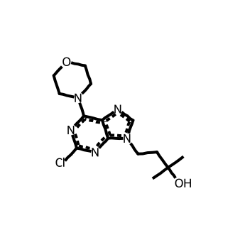 CC(C)(O)CCn1cnc2c(N3CCOCC3)nc(Cl)nc21